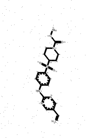 C=Cc1cnc(Nc2ccc(S(=O)(=O)C3CCN(C(=O)OC(C)(C)C)CC3)cc2)nc1